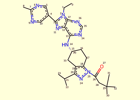 CCn1c(-c2cnc(C)nc2)nc2c(N[C@@H]3CCc4c(c(C(C)C)nn4C(=O)CC(C)(C)C)C3)ncnc21